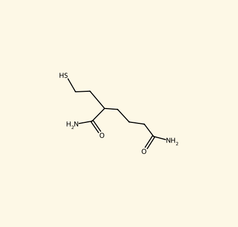 NC(=O)CCCC(CCS)C(N)=O